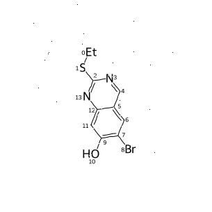 CCSc1ncc2cc(Br)c(O)cc2n1